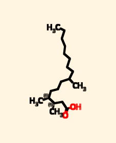 CCCCCCCCC(C)CCC[C@H](C)[C@@H](C)CC(=O)O